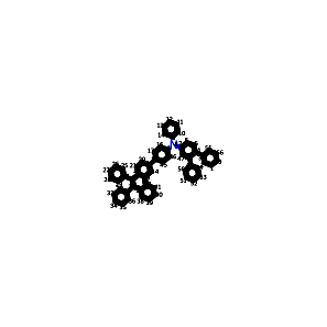 c1ccc(-c2ccc(N(c3ccccc3)c3ccc(-c4ccc5c(-c6ccccc6)c(-c6ccccc6)c6ccccc6c5c4)cc3)cc2-c2ccccc2)cc1